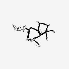 CCOC(=O)c1nn(CC)c2c1CCC2(C)C